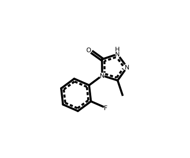 Cc1n[nH]c(=O)n1-c1ccccc1F